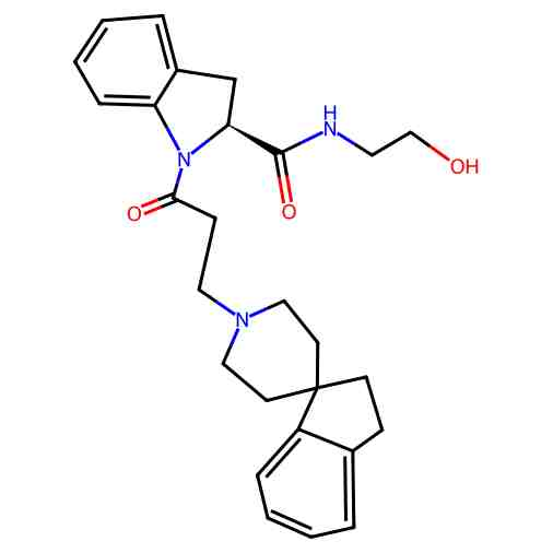 O=C(NCCO)[C@@H]1Cc2ccccc2N1C(=O)CCN1CCC2(CCc3ccccc32)CC1